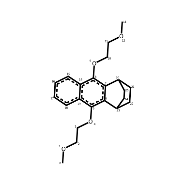 COCCOc1c2c(c(OCCOC)c3ccccc13)C1CCC2CC1